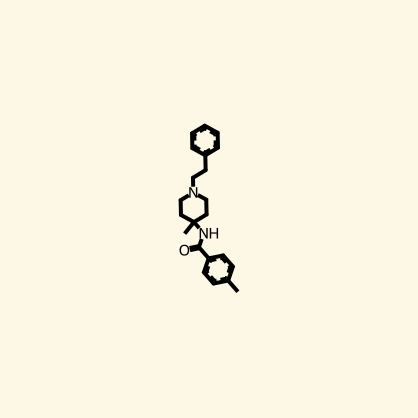 Cc1ccc(C(=O)NC2(C)CCN(CCc3ccccc3)CC2)cc1